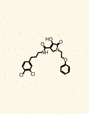 O=C(NCCCc1ccc(Cl)c(Cl)c1)C1=C(O)C(=O)N(CCOc2ccccc2)C1